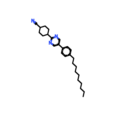 CCCCCCCCCCc1ccc(-c2cnc(C3CCC(C#N)CC3)nc2)cc1